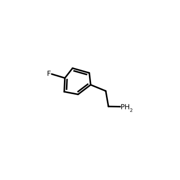 Fc1ccc(CCP)cc1